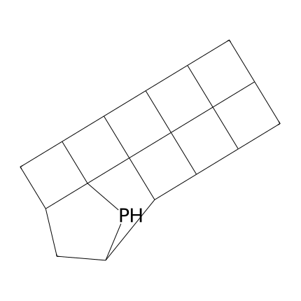 C1C2PC34C1CC3C1C3C5CC6CC7C8C2C14C83C675